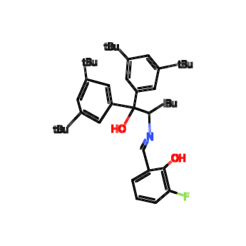 CCC(C)C(N=Cc1cccc(F)c1O)C(O)(c1cc(C(C)(C)C)cc(C(C)(C)C)c1)c1cc(C(C)(C)C)cc(C(C)(C)C)c1